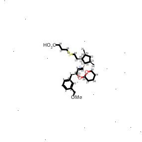 COCc1cccc(C[C@@H](/C=C/[C@@H]2[C@@H](CCSCCCC(=O)O)[C@@H](C)C[C@H]2C)OC2CCCCO2)c1